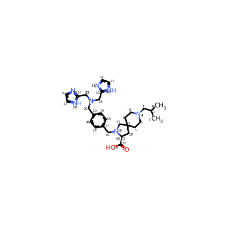 CC(C)CN1CCC2(CC1)C[C@@H](C(=O)O)N(Cc1ccc(CN(Cc3ncc[nH]3)Cc3ncc[nH]3)cc1)C2